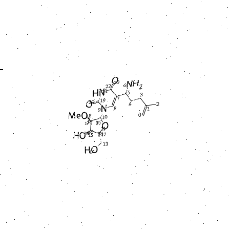 C=C(C)CCC(N)c1cn([C@@H]2O[C@H](CO)[C@@H](O)[C@H]2OC)c(=O)[nH]c1=O